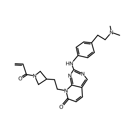 C=CC(=O)N1CC(CCn2c(=O)ccc3cnc(Nc4ccc(CCN(C)C)cc4)nc32)C1